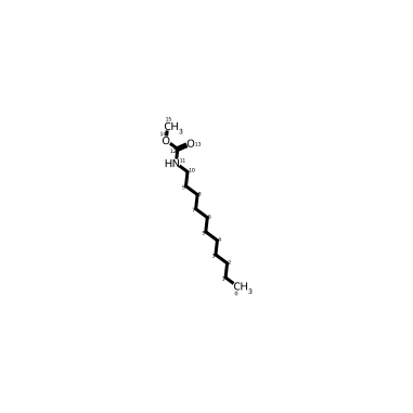 CCCCCCCCCCCNC(=O)OC